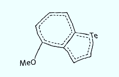 COc1cccc2[te]ccc12